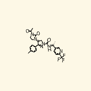 CC(=O)N1CCN([C@@H]2CN(C(=O)N[C@H](C)c3ccc(C(F)(F)F)nc3)N=C2c2ccc(C)cc2)C1=O